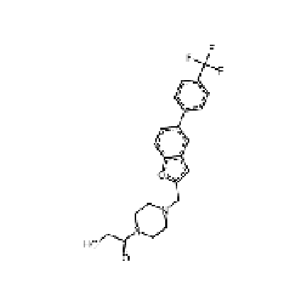 O=C(CO)N1CCN(Cc2cc3cc(-c4ccc(C(F)(F)F)cc4)ccc3o2)CC1